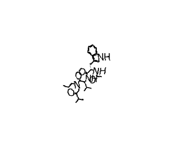 CCCN(CC(=O)C(C)C)C(=O)C(NC(=O)[C@H](Cc1c[nH]c2ccccc12)NC(C)=O)C(C)C